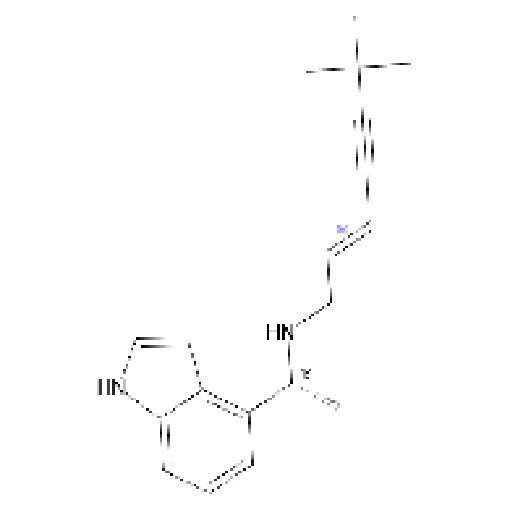 C[C@@H](NC/C=C/C#CC(C)(C)C)c1cccc2[nH]ccc12